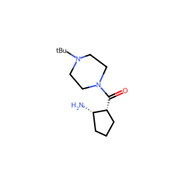 CC(C)(C)N1CCN(C(=O)[C@@H]2CCC[C@@H]2N)CC1